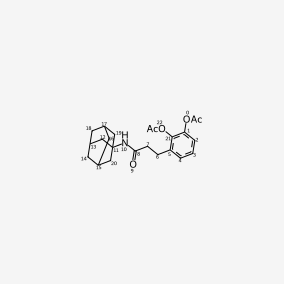 CC(=O)Oc1cccc(CCC(=O)NC23CC4CC(CC(C4)C2)C3)c1OC(C)=O